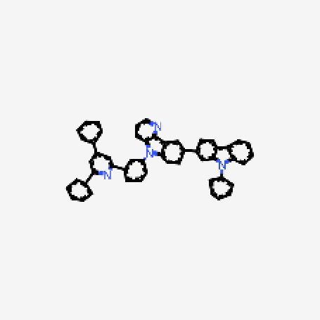 c1ccc(-c2cc(-c3ccccc3)nc(-c3cccc(-n4c5ccc(-c6ccc7c8ccccc8n(-c8ccccc8)c7c6)cc5c5ncccc54)c3)c2)cc1